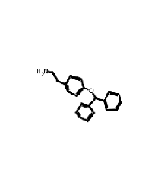 NCCc1ccc(OC(c2ccccc2)c2ccccc2)cc1